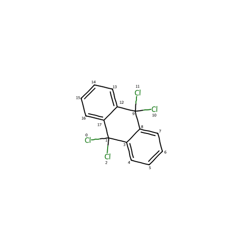 ClC1(Cl)c2ccccc2C(Cl)(Cl)c2ccccc21